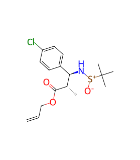 C=CCOC(=O)[C@@H](C)[C@H](N[S+]([O-])C(C)(C)C)c1ccc(Cl)cc1